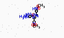 COC(=O)Nc1ccc(-c2cnc([C@@H]3CC(C4CCN(S(C)(=O)=O)CC4)CN3C(=O)c3ccc(NC(=N)N)cc3)[nH]2)cc1